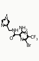 Cn1cnc(CNC(=O)c2nc(Br)c(C(F)(F)F)nc2N)c1